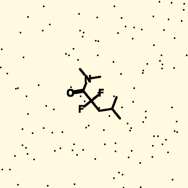 CC(C)CC(F)(F)C(=O)N(C)C